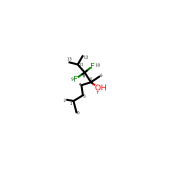 CC(C)CCC(C)(O)C(F)(F)C(C)C